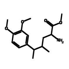 COC(=O)C(N)CC(C)C(C)c1ccc(OC)c(OC)c1